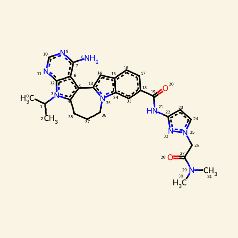 CC(C)n1c2c(c3c(N)ncnc31)-c1cc3ccc(C(=O)Nc4ccn(CC(=O)N(C)C)n4)cc3n1CCC2